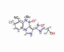 CCC(C)n1c(=O)c2c(-c3noc(C(C)(C)O)n3)ncn2c2ccc(Cl)c(C#N)c21